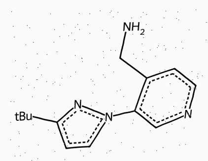 CC(C)(C)c1ccn(-c2cnccc2CN)n1